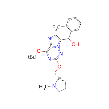 CN1CCC[C@H]1COc1nc(OC(C)(C)C)c2ncc(C(O)c3ccccc3C(F)(F)F)n2n1